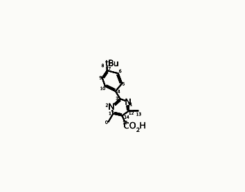 Cc1nc(-c2ccc(C(C)(C)C)cc2)nc(C)c1C(=O)O